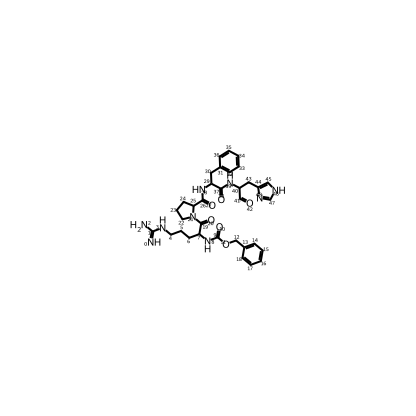 N=C(N)NCCCC(NC(=O)OCc1ccccc1)C(=O)N1CCCC1C(=O)NC(Cc1ccccc1)C(=O)NC([C]=O)Cc1c[nH]cn1